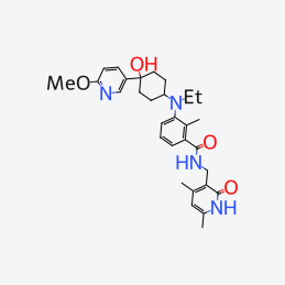 CCN(c1cccc(C(=O)NCc2c(C)cc(C)[nH]c2=O)c1C)C1CCC(O)(c2ccc(OC)nc2)CC1